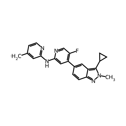 [CH2]c1ccnc(Nc2cc(-c3ccc4nn(C)c(C5CC5)c4c3)c(F)cn2)c1